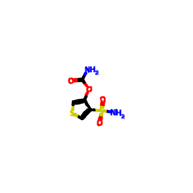 NC(=O)Oc1cscc1S(N)(=O)=O